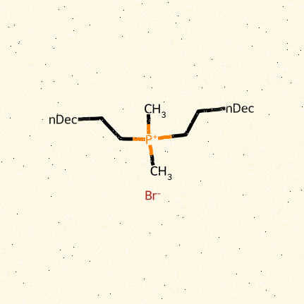 CCCCCCCCCCCC[P+](C)(C)CCCCCCCCCCCC.[Br-]